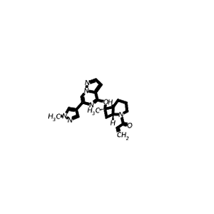 C=CC(=O)N1CCC[C@@H]2[C@H]1C[C@@]2(C)Oc1nc(-c2cnn(C)c2)cn2nccc12